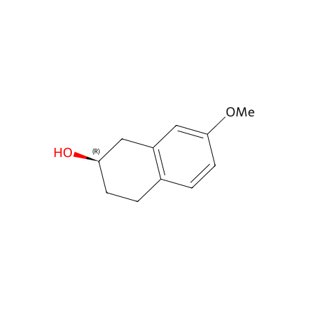 COc1ccc2c(c1)C[C@H](O)CC2